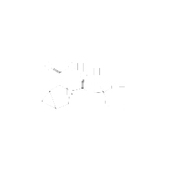 CC(C)(C)OC(=O)N1CC2CC2[C@@H]1C(=O)O